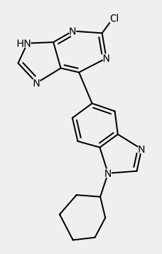 Clc1nc(-c2ccc3c(c2)ncn3C2CCCCC2)c2nc[nH]c2n1